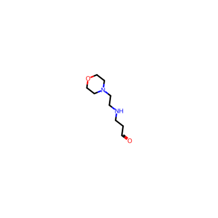 O=CCCNCCN1CCOCC1